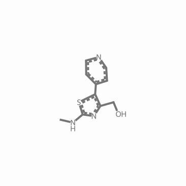 CNc1nc(CO)c(-c2ccncc2)s1